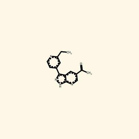 CCc1cc(-c2n[nH]c3ncc(C(C)=O)cc23)ccn1